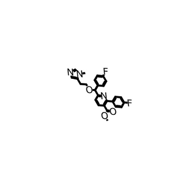 COC(=O)c1ccc(C(OCCc2cncn2C)c2ccc(F)cc2)nc1-c1ccc(F)cc1